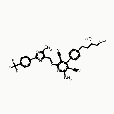 Cc1oc(-c2ccc(C(F)(F)F)cc2)nc1CSc1nc(N)c(C#N)c(-c2ccc(CC[C@H](O)CO)cc2)c1C#N